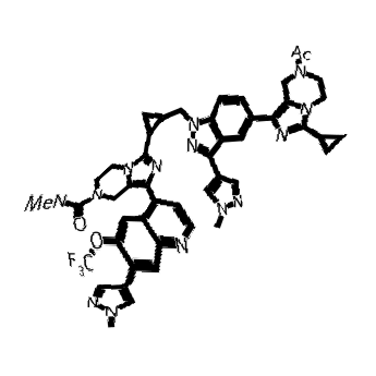 CNC(=O)N1CCn2c(C3CC3Cn3nc(-c4cnn(C)c4)c4cc(-c5nc(C6CC6)n6c5CN(C(C)=O)CC6)ccc43)nc(-c3ccnc4cc(-c5cnn(C)c5)c(OC(F)(F)F)cc34)c2C1